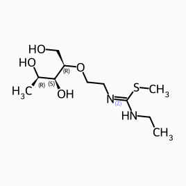 CCN/C(=N/CCO[C@H](CO)[C@@H](O)[C@@H](C)O)SC